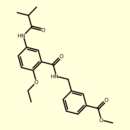 CCOc1ccc(NC(=O)C(C)C)cc1C(=O)NCc1cccc(C(=O)OC)c1